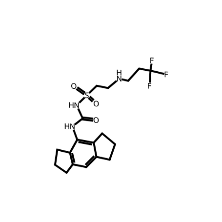 O=C(Nc1c2c(cc3c1CCC3)CCC2)NS(=O)(=O)CCNCCC(F)(F)F